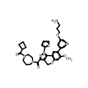 COc1cc2c(cc1-c1cncc(OCCCN)c1)-c1c(c(C(=O)N3CCCN(C(=O)C4CCC4)CC3)nn1-c1cccs1)CO2